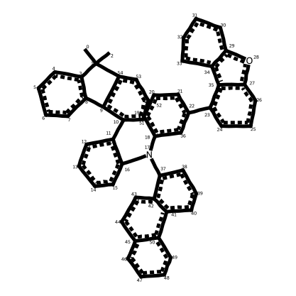 CC1(C)c2ccccc2-c2c(-c3ccccc3N(c3cccc(-c4cccc5oc6ccccc6c45)c3)c3cccc4c3ccc3ccccc34)cccc21